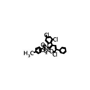 CCOC(=O)c1c(/C=C(\C(=O)Cl)c2ccccc2)c2c(Cl)cc(Cl)cc2n1S(=O)(=O)c1ccc(C)cc1